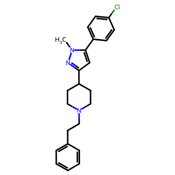 Cn1nc(C2CCN(CCc3ccccc3)CC2)cc1-c1ccc(Cl)cc1